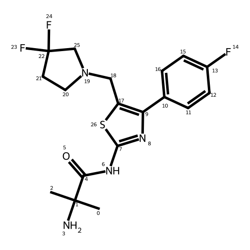 CC(C)(N)C(=O)Nc1nc(-c2ccc(F)cc2)c(CN2CCC(F)(F)C2)s1